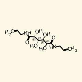 C=CCNC(=O)[C@@H](O)[C@H](O)[C@H](O)[C@@H](O)C(=O)NCC=C